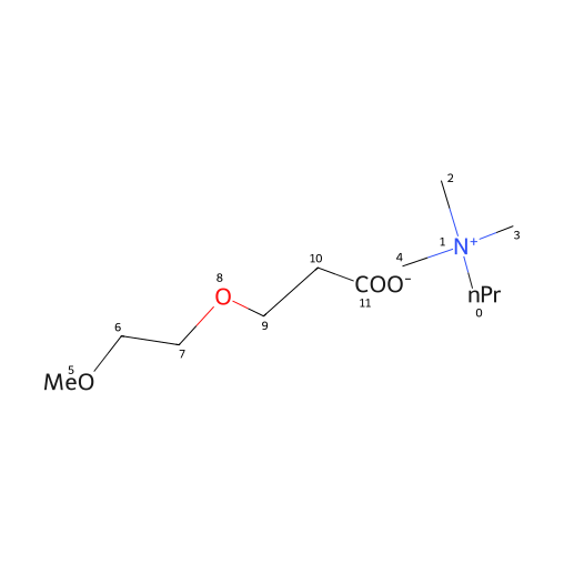 CCC[N+](C)(C)C.COCCOCCC(=O)[O-]